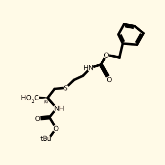 CC(C)(C)OC(=O)N[C@H](CSCCNC(=O)OCc1ccccc1)C(=O)O